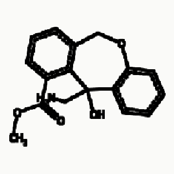 COC(=O)c1cccc2c1C(O)(CN)c1ccccc1OC2